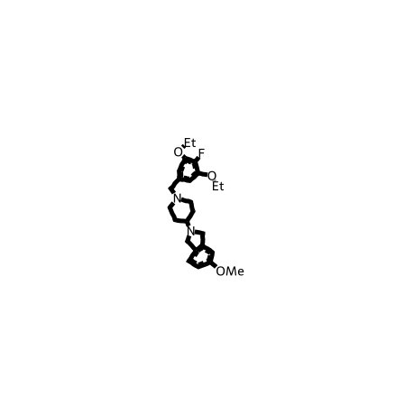 CCOc1cc(CN2CCC(N3Cc4ccc(OC)cc4C3)CC2)cc(OCC)c1F